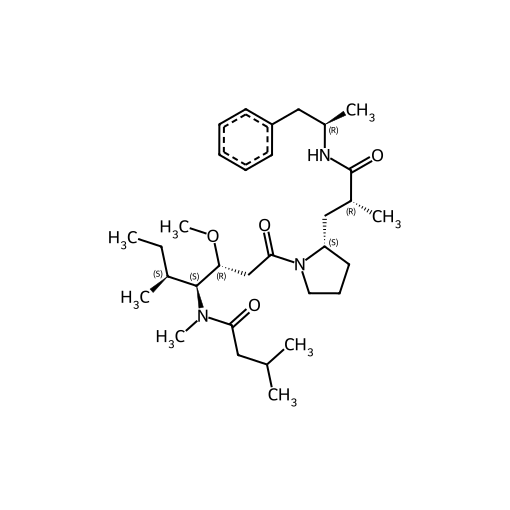 CC[C@H](C)[C@@H]([C@@H](CC(=O)N1CCC[C@H]1C[C@@H](C)C(=O)N[C@H](C)Cc1ccccc1)OC)N(C)C(=O)CC(C)C